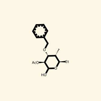 CC[C@H]1OC(O)[C@@H](OC(C)=O)[C@H](OCc2ccccc2)[C@@H]1C